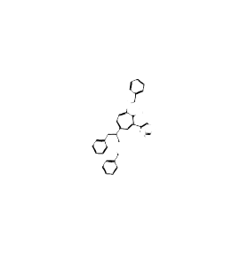 O=c1c(OCc2ccccc2)ccc(C(COCc2ccccc2)Cc2ccccc2)cc1-c1cscn1